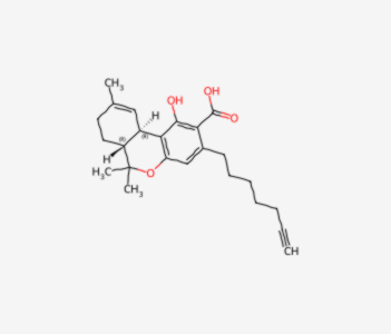 C#CCCCCCc1cc2c(c(O)c1C(=O)O)[C@@H]1C=C(C)CC[C@H]1C(C)(C)O2